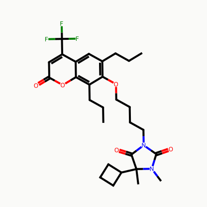 CCCc1cc2c(C(F)(F)F)cc(=O)oc2c(CCC)c1OCCCCN1C(=O)N(C)C(C)(C2CCC2)C1=O